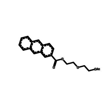 CC(=O)OCCOCCOC(=O)c1ccc2cc3ccccc3cc2c1